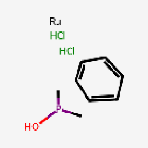 CP(C)O.Cl.Cl.[Ru].c1ccccc1